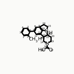 Cc1ccccc1-c1cc2c3c(c1)[C@@H]1CN(C(=O)O)CC[C@@H]1N3CC2